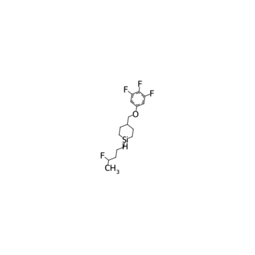 CC(F)CCC[SiH]1CCC(COc2cc(F)c(F)c(F)c2)CC1